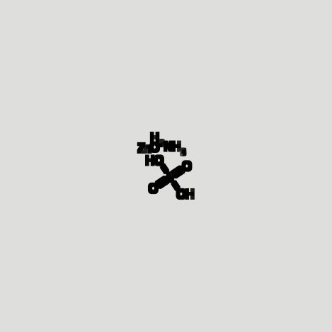 N.O.O=S(=O)(O)O.[Zn]